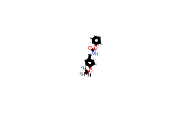 [2H]C([2H])([2H])Oc1ccc(CNC(=O)Oc2ccccc2)cc1